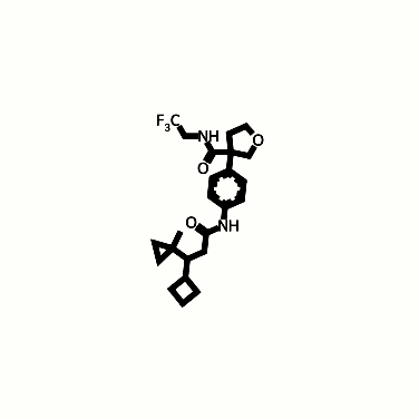 CC1(C(CC(=O)Nc2ccc(C3(C(=O)NCC(F)(F)F)CCOC3)cc2)C2CCC2)CC1